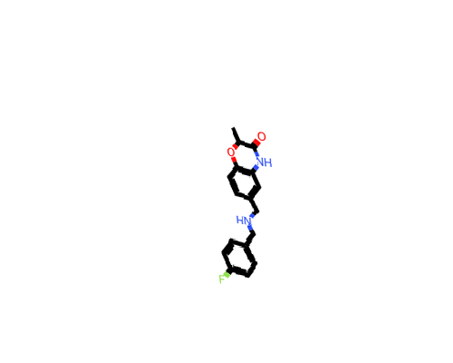 CC1Oc2ccc(CNCc3ccc(F)cc3)cc2NC1=O